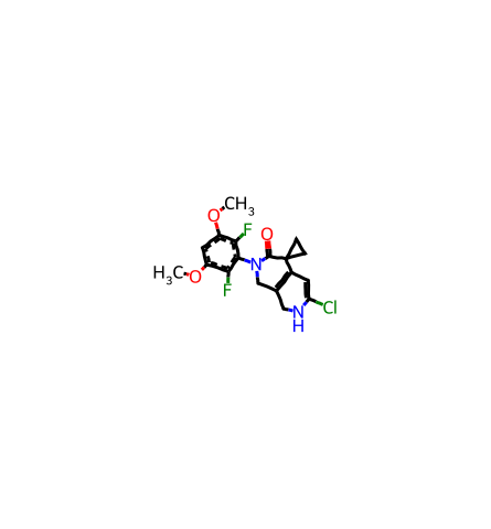 COc1cc(OC)c(F)c(N2CC3=C(C=C(Cl)NC3)C3(CC3)C2=O)c1F